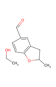 CC1Cc2cc(C=O)ccc2O1.CCO